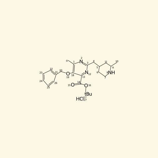 Cc1nc(CC2CCNC(C)C2)nc(C(=O)OC(C)(C)C)c1OCc1ccccc1.Cl